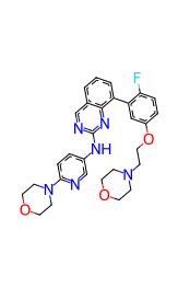 Fc1ccc(OCCN2CCOCC2)cc1-c1cccc2cnc(Nc3ccc(N4CCOCC4)nc3)nc12